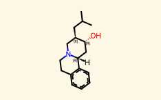 CC(C)C[C@@H]1CN2CCc3ccccc3[C@H]2C[C@H]1O